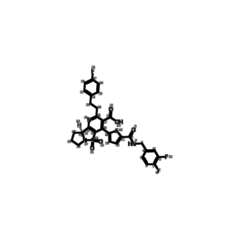 O=C(NCc1ccc(F)c(F)c1)c1ccc(-c2c(C(=O)O)c(CCc3ccc(F)cc3)nc3c2S(=O)(=O)N2CCC[C@@H]32)s1